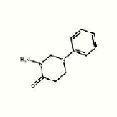 NN1CN(c2ccccc2)CCC1=O